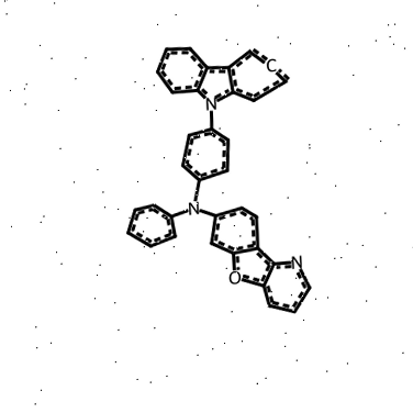 c1ccc(N(c2ccc(-n3c4ccccc4c4ccccc43)cc2)c2ccc3c(c2)oc2cccnc23)cc1